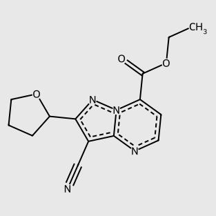 CCOC(=O)c1ccnc2c(C#N)c(C3CCCO3)nn12